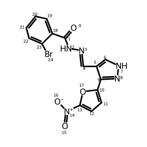 O=C(NN=Cc1c[nH]nc1-c1ccc([N+](=O)[O-])o1)c1ccccc1Br